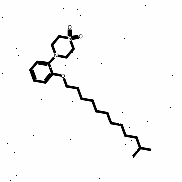 CC(C)CCCCCCCCCCOc1ccccc1N1CCS(=O)(=O)CC1